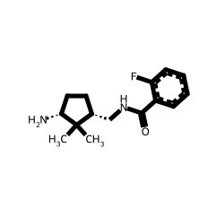 CC1(C)[C@@H](CNC(=O)c2ccccc2F)CC[C@H]1N